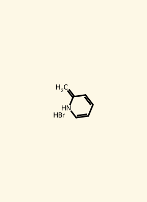 Br.C=C1C=CC=CN1